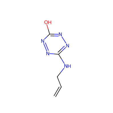 C=CCNc1nnc(O)nn1